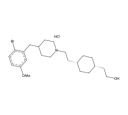 COc1ccc(Br)c(CC2CCN(CC[C@H]3CC[C@@H](CCO)CC3)CC2)c1.Cl